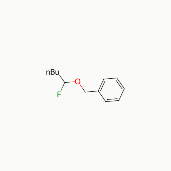 CCCCC(F)OCc1ccccc1